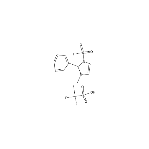 CN1C=CN(S(=O)(=O)F)C1c1ccccc1.O=S(=O)(O)C(F)(F)F